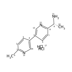 Cc1ccc(-c2ccc([C@@H](C)N)nc2)cn1.Cl.Cl